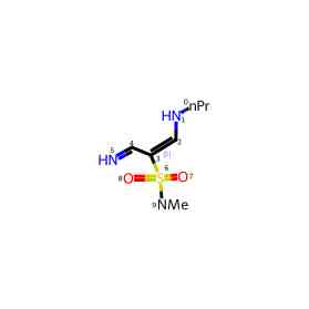 CCCN/C=C(\C=N)S(=O)(=O)NC